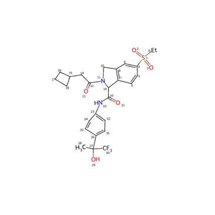 CCS(=O)(=O)c1ccc2c(c1)CN(C(=O)CC1CCC1)C2C(=O)Nc1ccc(C(C)(O)C(F)(F)F)cc1